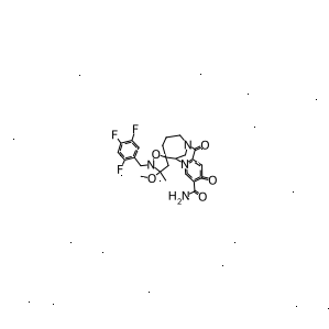 COC1(C)CC2(CCCN3CC2n2cc(C(N)=O)c(=O)cc2C3=O)ON1Cc1cc(F)c(F)cc1F